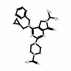 CC(=O)N1CCN(c2nc3c(c(N(Cc4ccccc4)CC4CC4)n2)CN(C(C)C)C3=O)CC1